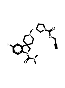 C#CCOC(=O)N1CC[C@@H](CN2CCC3(CC2)CN(C(=O)N(C)C)c2ccc(F)cc23)C1